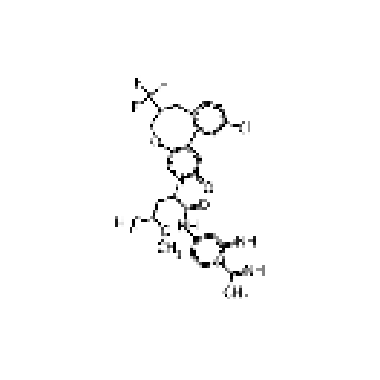 COC(C)CC(C(=O)Nc1ccn(C(C)=N)c(=N)c1)n1cc2c(cc1=O)-c1cc(Cl)ccc1CC(C(F)(F)F)CO2